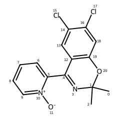 CC1(C)N=C(c2cccc[n+]2[O-])c2cc(Cl)c(Cl)cc2O1